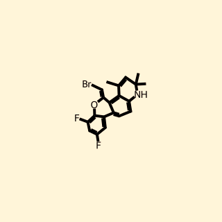 CC1=CC(C)(C)Nc2ccc3c(c21)C(=CBr)Oc1c(F)cc(F)cc1-3